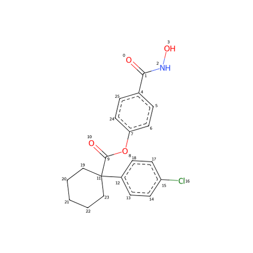 O=C(NO)c1ccc(OC(=O)C2(c3ccc(Cl)cc3)CCCCC2)cc1